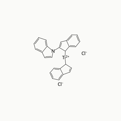 C1=C[CH]([Ti+2][CH]2C(n3ccc4ccccc43)=Cc3ccccc32)c2ccccc21.[Cl-].[Cl-]